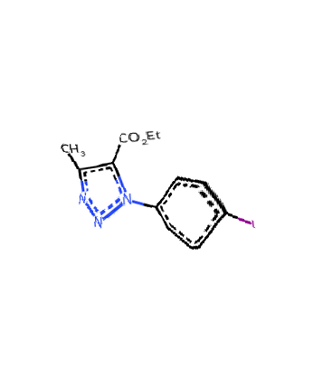 CCOC(=O)c1c(C)nnn1-c1ccc(I)cc1